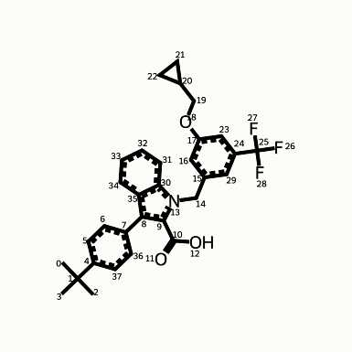 CC(C)(C)c1ccc(-c2c(C(=O)O)n(Cc3cc(OCC4CC4)cc(C(F)(F)F)c3)c3ccccc23)cc1